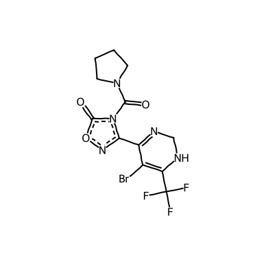 O=C(N1CCCC1)n1c(C2=NCNC(C(F)(F)F)=C2Br)noc1=O